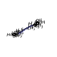 C\C(C=C=C1C(C)(C)CC(O)CC1(C)O)=C/C=C/C(C)=C/C=C/C=C(C)/C=C/C=C(\C)C=C=C1C(C)(C)CC(O)CC1(C)O